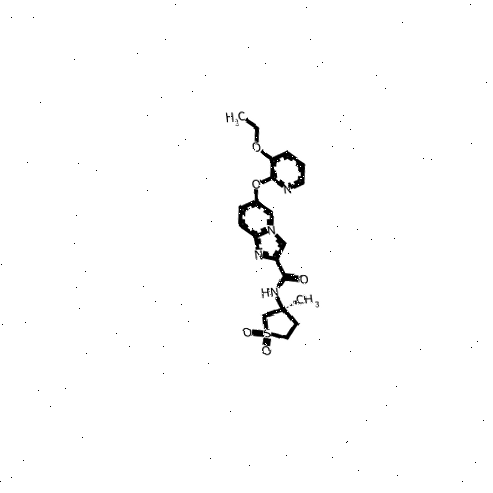 CCOc1cccnc1Oc1ccc2nc(C(=O)N[C@@]3(C)CCS(=O)(=O)C3)cn2c1